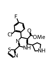 COC(=O)C1=C(C2CCNC2)NC(c2nccs2)=NC1c1ccc(F)cc1Cl